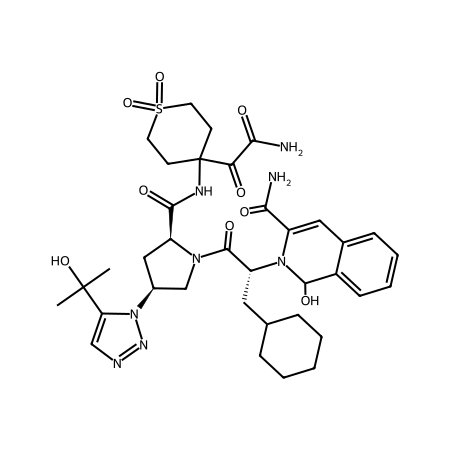 CC(C)(O)c1cnnn1[C@H]1C[C@@H](C(=O)NC2(C(=O)C(N)=O)CCS(=O)(=O)CC2)N(C(=O)[C@@H](CC2CCCCC2)N2C(C(N)=O)=Cc3ccccc3C2O)C1